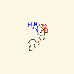 CC1(c2cc(Sc3cccc4ccccc34)ccc2F)CS(=O)(=O)C(C)(C)C(N)=N1